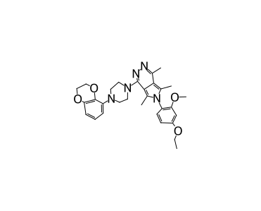 CCOc1ccc(-n2c(C)c3c(C)nnc(N4CCN(c5cccc6c5OCCO6)CC4)c3c2C)c(OC)c1